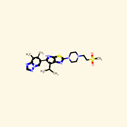 Cc1c(-c2[nH]c3sc(N4CCN(CCS(C)(=O)=O)CC4)nc3c2C(C)C)cn2ncnc2c1C